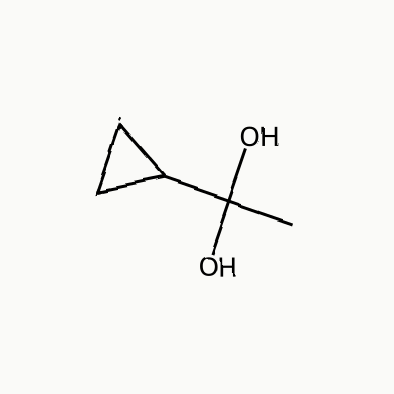 CC(O)(O)C1[CH]C1